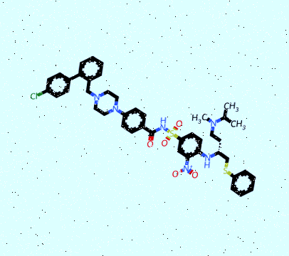 CC(C)N(C)CC[C@H](CSc1ccccc1)Nc1ccc(S(=O)(=O)NC(=O)c2ccc(N3CCN(Cc4ccccc4-c4ccc(Cl)cc4)CC3)cc2)cc1[N+](=O)[O-]